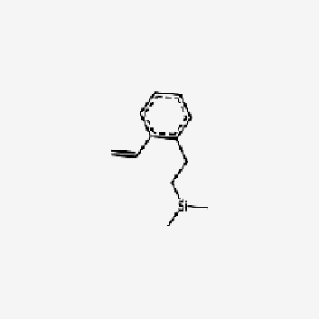 C=Cc1ccccc1CC[Si](C)C